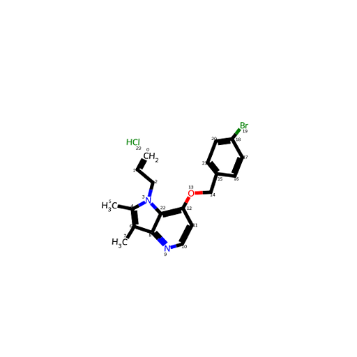 C=CCn1c(C)c(C)c2nccc(OCc3ccc(Br)cc3)c21.Cl